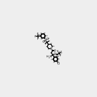 CC(C)(C1CCN(C(=O)CC(N)(OC(=O)C(F)(F)F)c2ccc(Cl)cc2)CC1)S(=O)(=O)c1cccc(C(F)(F)F)c1